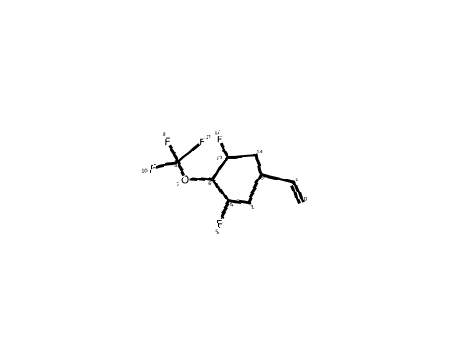 C=CC1CC(F)C(OC(F)(F)F)C(F)C1